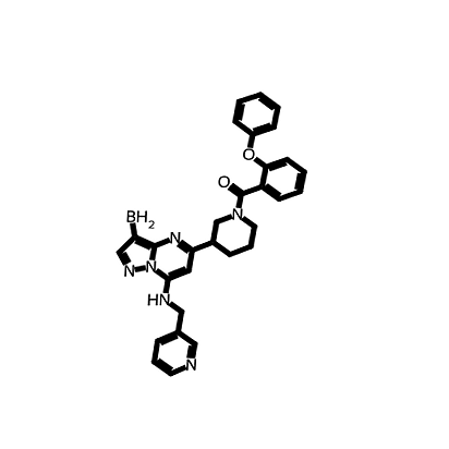 Bc1cnn2c(NCc3cccnc3)cc(C3CCCN(C(=O)c4ccccc4Oc4ccccc4)C3)nc12